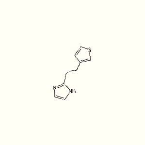 c1c[nH]c(CCc2ccsc2)n1